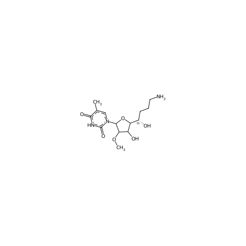 COC1C(O)C([C@@H](O)CCCN)OC1n1cc(C)c(=O)[nH]c1=O